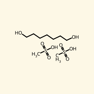 CS(=O)(=O)O.CS(=O)(=O)O.OCCCCCCCO